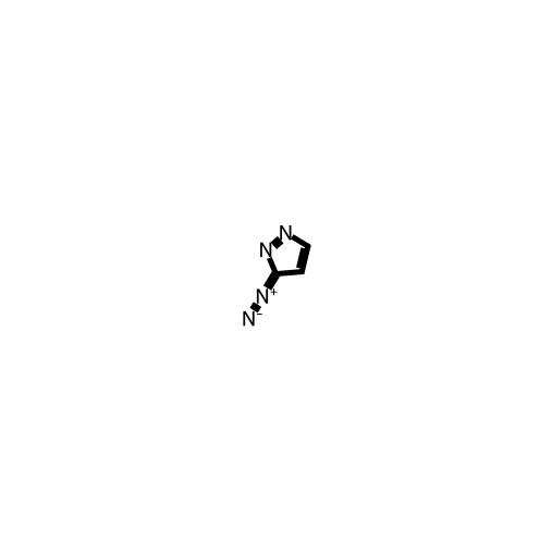 [N-]=[N+]=C1C=CN=N1